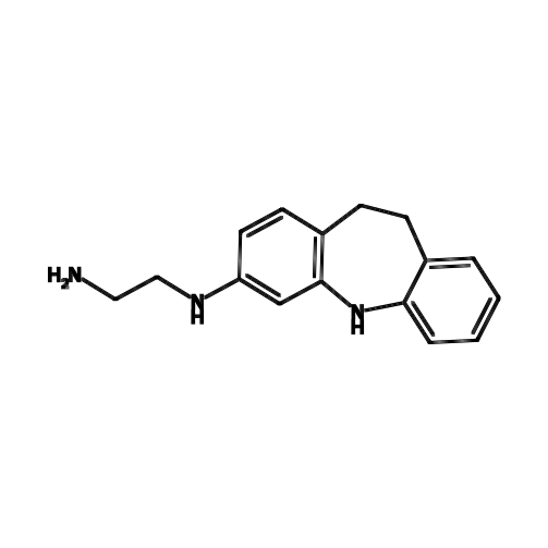 NCCNc1ccc2c(c1)Nc1ccccc1CC2